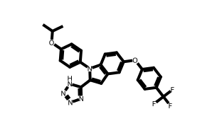 CC(C)Oc1ccc(-n2c(-c3nnn[nH]3)cc3cc(Oc4ccc(C(F)(F)F)cc4)ccc32)cc1